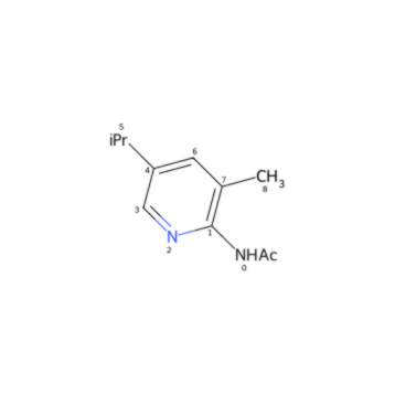 CC(=O)Nc1ncc(C(C)C)cc1C